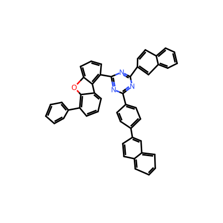 c1ccc(-c2cccc3c2oc2cccc(-c4nc(-c5ccc(-c6ccc7ccccc7c6)cc5)nc(-c5ccc6ccccc6c5)n4)c23)cc1